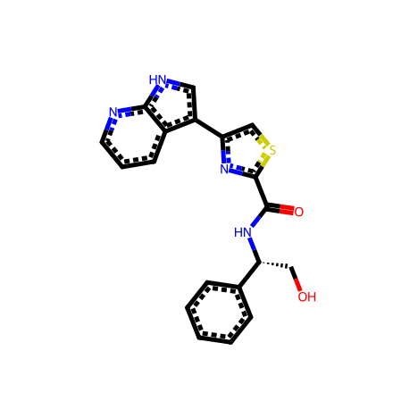 O=C(N[C@H](CO)c1ccccc1)c1nc(-c2c[nH]c3ncccc23)cs1